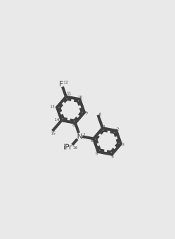 Cc1ccccc1N(c1ccc(F)cc1C)C(C)C